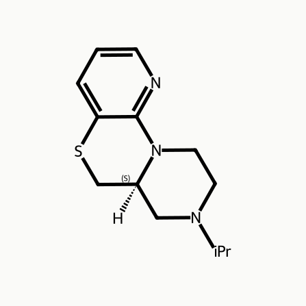 CC(C)N1CCN2c3ncccc3SC[C@@H]2C1